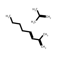 C=C(C)C.C=C(C)C=CCCCC